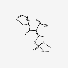 COP(=O)(OC)OC(C)=C(C(=O)O)C(C)c1ccccc1